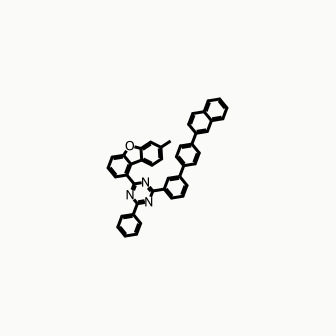 Cc1ccc2c(c1)oc1cccc(-c3nc(-c4ccccc4)nc(-c4cccc(-c5ccc(-c6ccc7ccccc7c6)cc5)c4)n3)c12